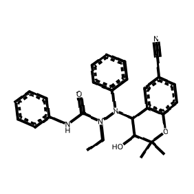 CCN(C(=O)Nc1ccccc1)N(c1ccccc1)C1c2cc(C#N)ccc2OC(C)(C)C1O